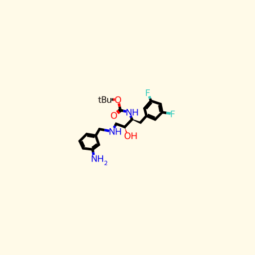 CC(C)(C)OC(=O)N[C@@H](Cc1cc(F)cc(F)c1)[C@H](O)CNCc1cccc(N)c1